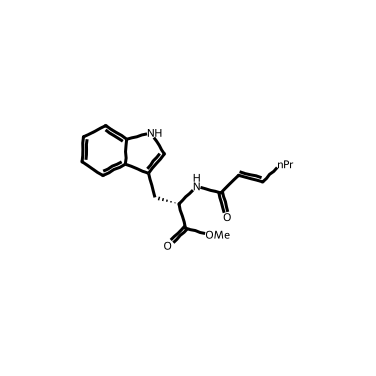 CCC/C=C/C(=O)N[C@@H](Cc1c[nH]c2ccccc12)C(=O)OC